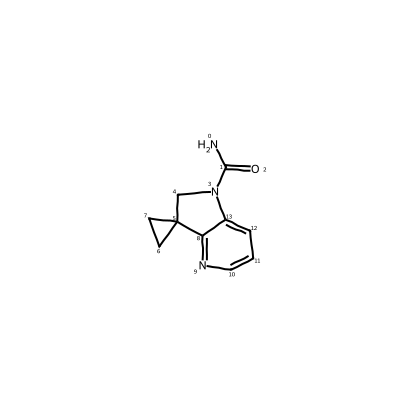 NC(=O)N1CC2(CC2)c2ncccc21